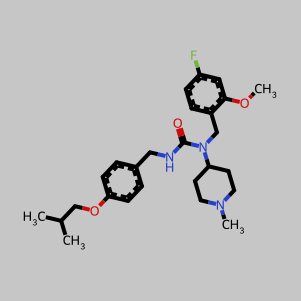 COc1cc(F)ccc1CN(C(=O)NCc1ccc(OCC(C)C)cc1)C1CCN(C)CC1